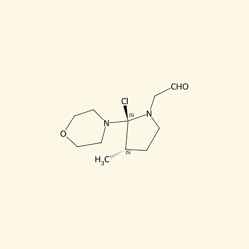 C[C@H]1CCN(CC=O)[C@@]1(Cl)N1CCOCC1